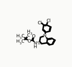 CC(C)(C)OC(=O)N[C@H]1Cc2ccccc2N(c2ccc(Cl)c(Cl)c2)C1